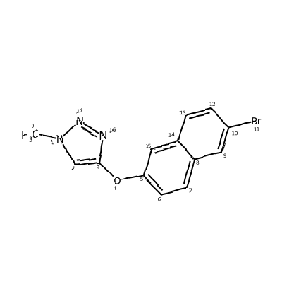 Cn1cc(Oc2ccc3cc(Br)ccc3c2)nn1